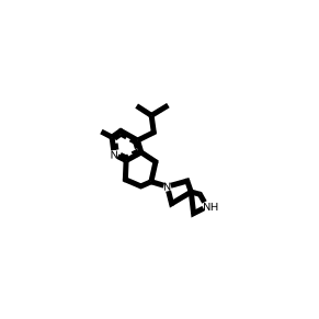 Cc1cc(CC(C)C)c2c(n1)CCC(N1CC3(CNC3)C1)C2